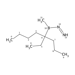 CCCCC(CC)(CCC)B(C)N=N